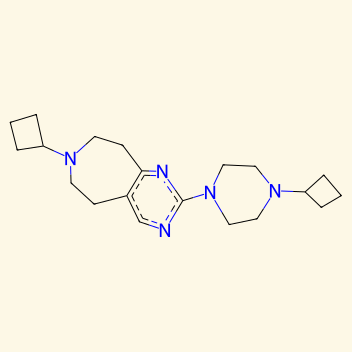 c1nc(N2CCN(C3CCC3)CC2)nc2c1CCN(C1CCC1)CC2